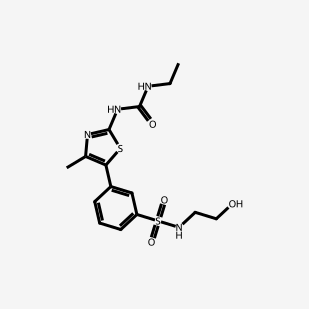 CCNC(=O)Nc1nc(C)c(-c2cccc(S(=O)(=O)NCCO)c2)s1